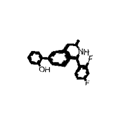 CC1Cc2cc(-c3ccccc3O)ccc2C(c2ccc(F)cc2F)N1